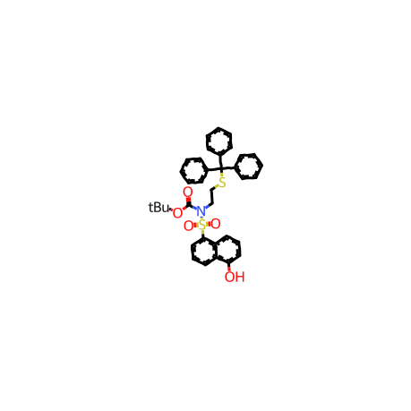 CC(C)(C)OC(=O)N(CCSC(c1ccccc1)(c1ccccc1)c1ccccc1)S(=O)(=O)c1cccc2c(O)cccc12